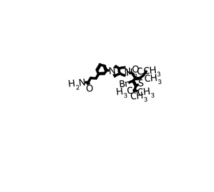 CC(C)(C)c1sc(C(C)(C)C)c(C(=O)N2CC3CN(c4cccc(CCC(N)=O)c4)CC3C2)c1Br